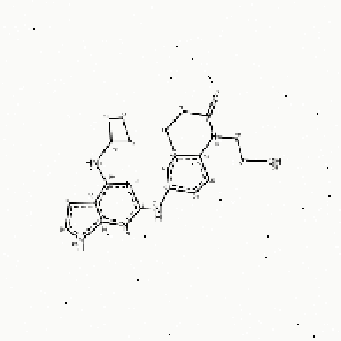 O=C1CCc2cc(Nc3nc(NC4CCC4)c4cc[nH]c4n3)ccc2N1CCO